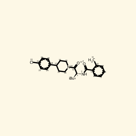 CC[C@H](C)[C@@H](NC(=O)c1ccccc1C)C(=O)N1CCC(c2ccc(Cl)cc2)CC1